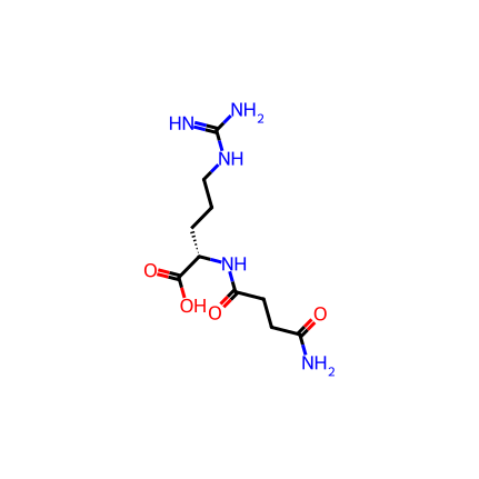 N=C(N)NCCC[C@H](NC(=O)CCC(N)=O)C(=O)O